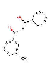 Cc1cccc(C(=O)CC(=O)c2ccccc2)c1